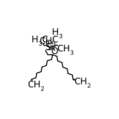 C=CCCCCCCCC1(CCCCCCCC=C)CC[Si](CC)(CC)[Si](CC)(CC)O1